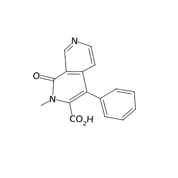 Cn1c(C(=O)O)c(-c2ccccc2)c2ccncc2c1=O